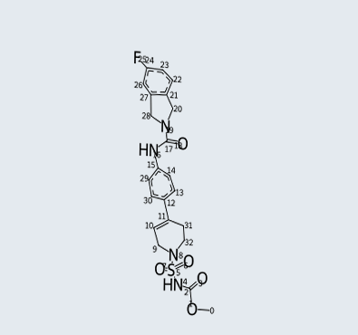 COC(=O)NS(=O)(=O)N1CC=C(c2ccc(NC(=O)N3Cc4ccc(F)cc4C3)cc2)CC1